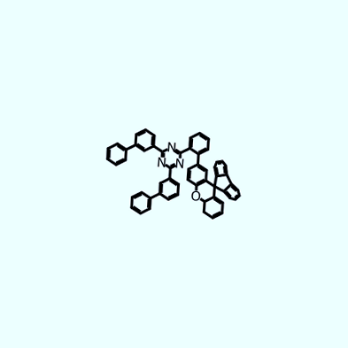 C1=CCC2Oc3ccc(-c4ccccc4-c4nc(-c5cccc(-c6ccccc6)c5)nc(-c5cccc(-c6ccccc6)c5)n4)cc3C3(C2=C1)c1ccccc1-c1ccccc13